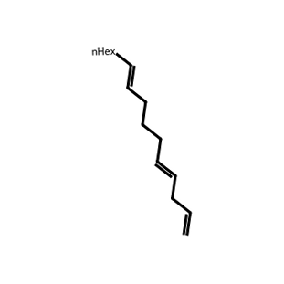 C=CCC=CCCCC=CCCCCCC